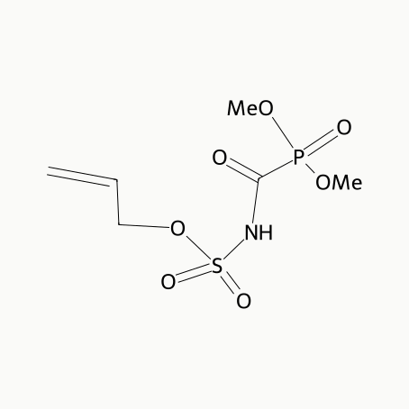 C=CCOS(=O)(=O)NC(=O)P(=O)(OC)OC